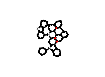 c1ccc(-c2cccc3cccc(-c4ccccc4N(c4ccc5c6ccccc6n(-c6ccccc6)c5c4)c4cccc5sc6ccccc6c45)c23)cc1